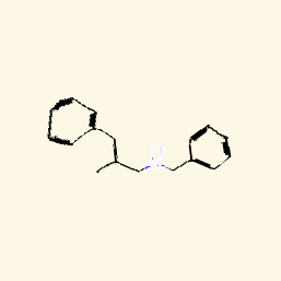 C[C](CNCc1ccccc1)Cc1ccccc1